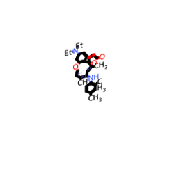 CCN(CC)c1ccc2c(c1)O/C=C/C(C)=C(Nc1ccc(C)cc1C)\C=C(/C)C21OC(=O)c2ccccc21